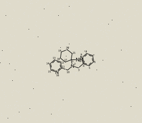 NC1(N(Cc2ccccn2)Cc2ccccn2)CCCCC1